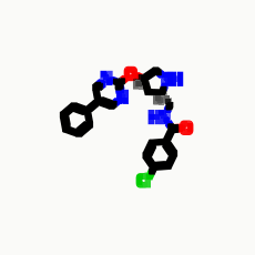 O=C(NC[C@@H]1C[C@@H](Oc2ncc(-c3ccccc3)cn2)CN1)c1ccc(Cl)cc1